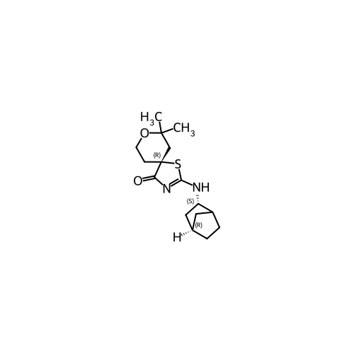 CC1(C)C[C@@]2(CCO1)SC(N[C@H]1C[C@@H]3CCC1C3)=NC2=O